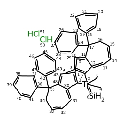 CC1=[C]([Ti]([CH3])([CH3])(=[SiH2])[C]2=C(C)C=C3C2=CC=CCC3(c2ccccc2)c2ccccc2)C2=CC=CCC(c3ccccc3)(c3ccccc3)C2=C1.Cl.Cl